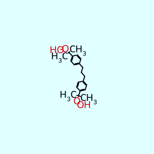 CC(C)(OO)c1ccc(CCCc2ccc(C(C)(C)OO)cc2)cc1